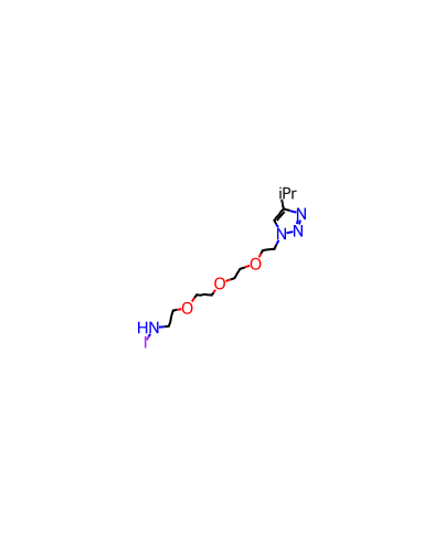 CC(C)c1cn(CCOCCOCCOCCNI)nn1